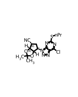 CCCSc1nc(Cl)c2nnn([C@@H]3C[C@H](C#N)[C@H]4OC(C)(C)O[C@H]43)c2n1